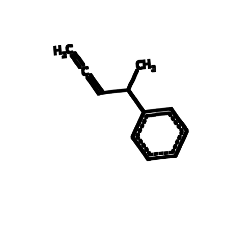 C=C=CC(C)c1ccccc1